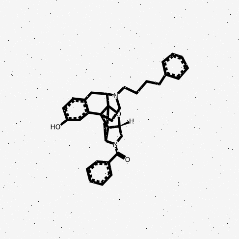 O=C(c1ccccc1)N1C[C@H]2OC34CCC1C2C31CCN(CCCCc2ccccc2)C4Cc2ccc(O)cc21